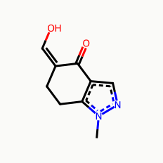 Cn1ncc2c1CCC(=CO)C2=O